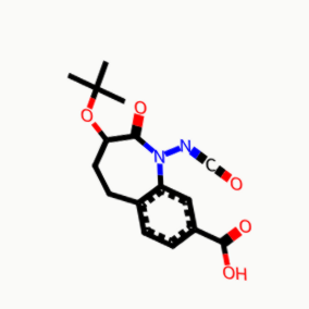 CC(C)(C)OC1CCc2ccc(C(=O)O)cc2N(N=C=O)C1=O